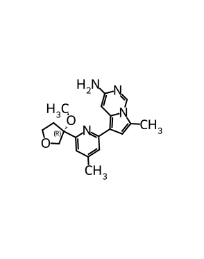 CO[C@@]1(c2cc(C)cc(-c3cc(C)n4cnc(N)cc34)n2)CCOC1